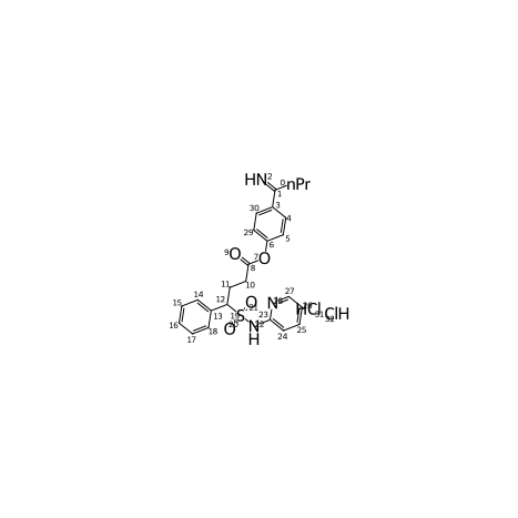 CCCC(=N)c1ccc(OC(=O)CCC(c2ccccc2)S(=O)(=O)Nc2ccccn2)cc1.Cl.Cl